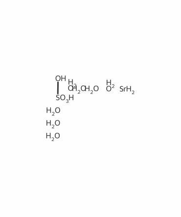 O.O.O.O.O.O.O.O=S(=O)(O)O.[SrH2]